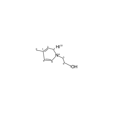 CC1=CCN(CCO)C=C1.I